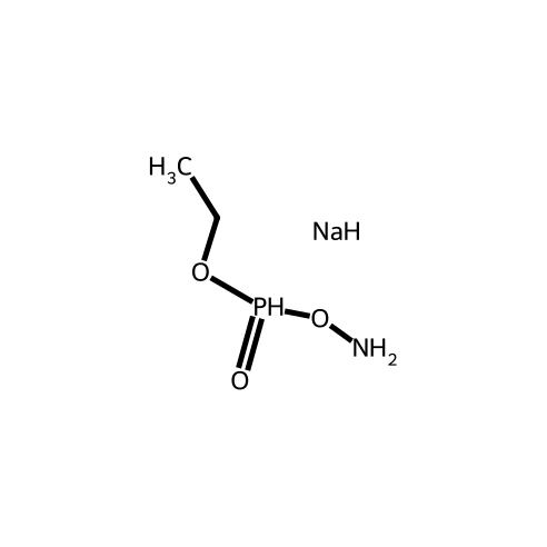 CCO[PH](=O)ON.[NaH]